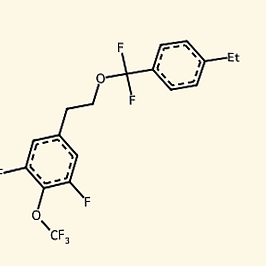 CCc1ccc(C(F)(F)OCCc2cc(F)c(OC(F)(F)F)c(F)c2)cc1